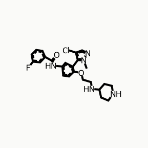 Cn1ncc(Cl)c1-c1cc(NC(=O)c2cccc(F)c2)ccc1OCCNC1CCNCC1